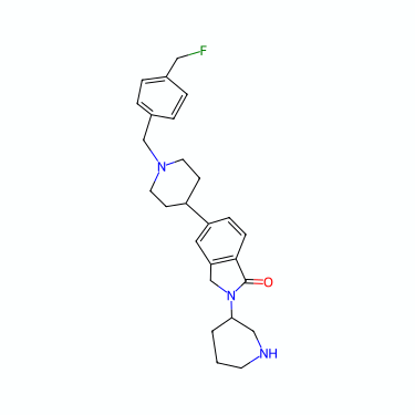 O=C1c2ccc(C3CCN(Cc4ccc(CF)cc4)CC3)cc2CN1C1CCCNC1